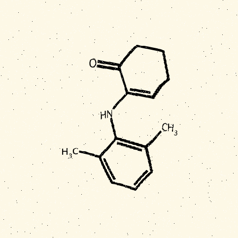 Cc1cccc(C)c1NC1=CCCCC1=O